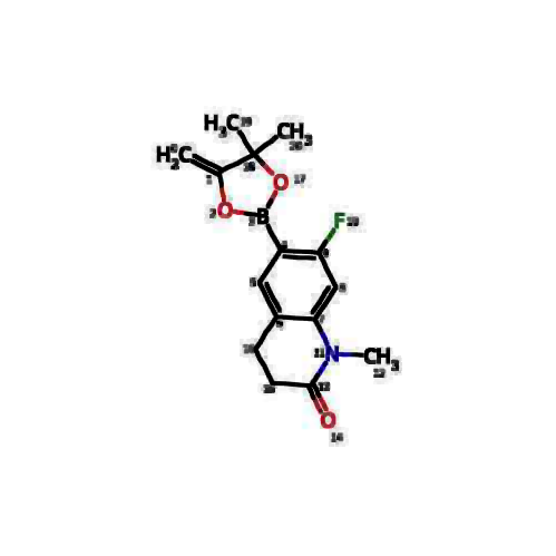 C=C1OB(c2cc3c(cc2F)N(C)C(=O)CC3)OC1(C)C